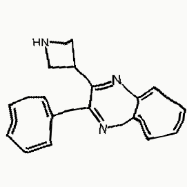 c1ccc(-c2nc3ccccc3nc2C2CNC2)cc1